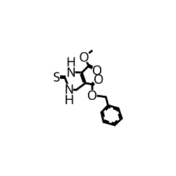 COC(=O)C1=C(C(=O)OCc2ccccc2)CNC(=S)N1